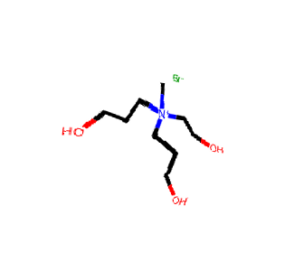 C[N+](CCO)(CCCO)CCCO.[Br-]